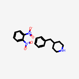 O=[N+]([O-])c1ccccc1[N+](=O)[O-].c1ccc(CC2CCNCC2)cc1